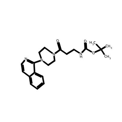 CC(C)(C)OC(=O)NCCC(=O)N1CCN(c2nccc3ccccc23)CC1